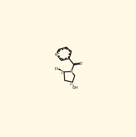 CC[C@@H]1C[C@@H](O)CN1C(=O)c1cccnc1